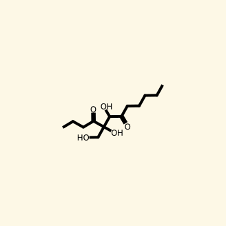 CCCCCC(=O)C(O)C(O)(CO)C(=O)CCC